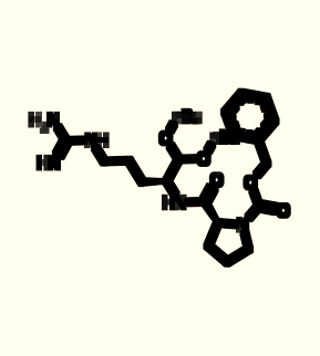 CCCCOC(OCCCC)[C@H](CCCNC(=N)N)NC(=O)[C@@H]1CCCN1C(=O)OCc1ccccc1